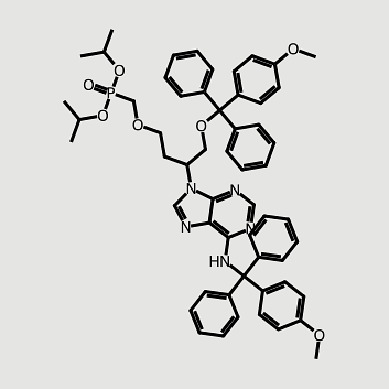 COc1ccc(C(Nc2ncnc3c2ncn3C(CCOCP(=O)(OC(C)C)OC(C)C)COC(c2ccccc2)(c2ccccc2)c2ccc(OC)cc2)(c2ccccc2)c2ccccc2)cc1